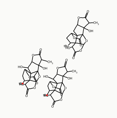 CC1C(=O)OC2C(O)C34C5CC(C(C)(C)C)C36C(OC(=O)C6O)OC4(C(=O)O5)C12O.CC1C(=O)OC2C(O)C34C5CC(C(C)(C)C)C36C(OC(=O)C6O)OC4(C(=O)O5)C12O.CC1C(=O)OC2CC34C5CC(C(C)(C)C)C36C(OC(=O)C6O)OC4(C(=O)O5)C21O